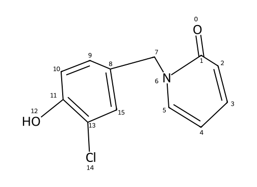 O=c1ccccn1Cc1ccc(O)c(Cl)c1